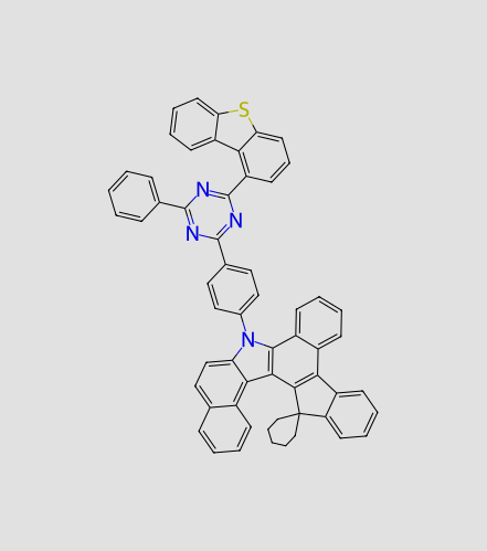 c1ccc(-c2nc(-c3ccc(-n4c5ccc6ccccc6c5c5c6c(c7ccccc7c54)-c4ccccc4C64CCCCC4)cc3)nc(-c3cccc4sc5ccccc5c34)n2)cc1